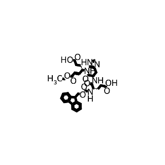 CCOC(=O)/C=C/[C@H](CCC(=O)O)NC(=O)C(Cc1c[nH]cn1)NC(=O)[C@H](CCC(=O)O)NC(=O)OCC1c2ccccc2-c2ccccc21